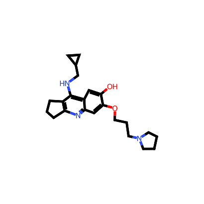 Oc1cc2c(NCC3CC3)c3c(nc2cc1OCCCN1CCCC1)CCC3